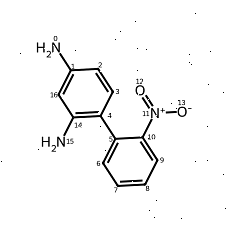 Nc1ccc(-c2ccccc2[N+](=O)[O-])c(N)c1